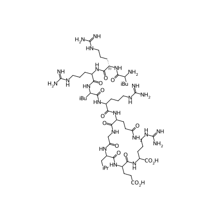 CCC(C)C(N)C(=O)N[C@@H](CCCNC(=N)N)C(=O)NC(CCCNC(=N)N)C(=O)NC(C(=O)NC(CCCNC(=N)N)C(=O)NC(CCC(N)=O)C(=O)NCC(=O)NC(CC(C)C)C(=O)NC(CCC(=O)O)C(=O)NC(CCCNC(=N)N)C(=O)O)C(C)CC